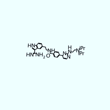 CC(C)N(CCNc1nccc(-c2ccc(C(=O)NCCc3ccc4[nH]cc(C(=N)N)c4c3)cc2)n1)C(C)C